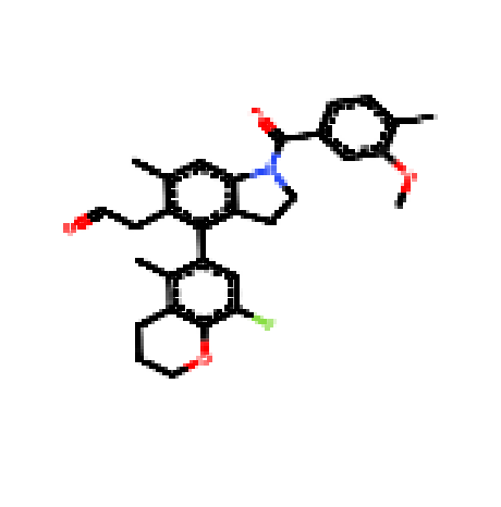 COc1cc(C(=O)N2CCc3c2cc(C)c(CC=O)c3-c2cc(F)c3c(c2C)CCCO3)ccc1C